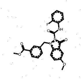 COC(=O)c1cccc(Cn2c3ccc(OC)cc3c(=O)n2C(=O)Nc2ccccc2F)c1